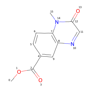 COC(=O)c1ccc2c(c1)ncc(=O)n2C